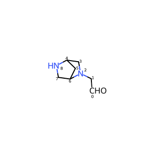 O=CCN1CC2CC1CN2